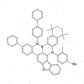 Cc1cc(C(C)(C)C)ccc1N1c2cc3c(cc2B2c4c(cc5oc6ccccc6c5c41)-c1ccc(-c4ccccc4)cc1N2c1ccc(-c2ccccc2)cc1)C(C)(C)CCC3(C)C